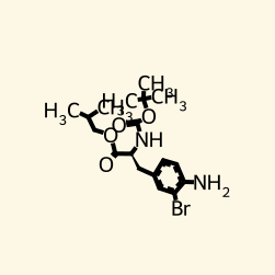 CC(C)COC(=O)[C@H](Cc1ccc(N)c(Br)c1)NC(=O)OC(C)(C)C